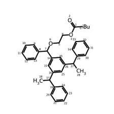 CCC(C)C(=O)OCCOC(c1ccccc1)c1cc(C(C)c2ccccc2)cc(C(C)c2ccccc2)c1